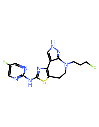 FCCCN1CCc2sc(Nc3ncc(F)cn3)nc2-c2c[nH]nc21